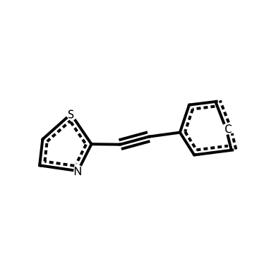 C(#Cc1nccs1)c1ccccc1